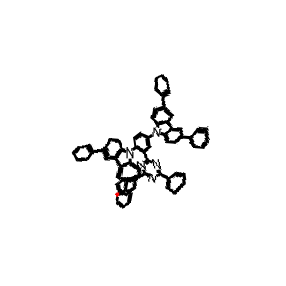 c1ccc(-c2ccc3c(c2)c2cc(-c4ccccc4)ccc2n3-c2ccc(-n3c4ccc(-c5ccccc5)cc4c4cc(-c5ccccc5)ccc43)c(-c3nc(-c4ccccc4)nc(-c4ccccc4)n3)c2)cc1